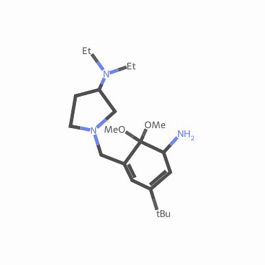 CCN(CC)C1CCN(CC2=CC(C(C)(C)C)=CC(N)C2(OC)OC)C1